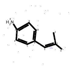 [CH2]/C(C)=C/c1ccc(N)cc1